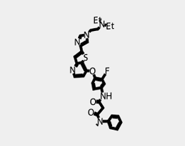 CCN(CC)CCn1cnc(-c2cc3nccc(Oc4ccc(NC(=O)CC(=O)N(C)c5ccccc5)cc4F)c3s2)c1